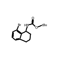 CC(C)(C)OC(=O)NC1CCCc2cccc(Br)c21